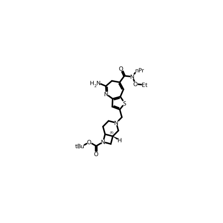 CCCN(OCC)C(=O)C1=Cc2sc(CN3CCC4[C@H](C3)CN4C(=O)OC(C)(C)C)cc2N=C(N)C1